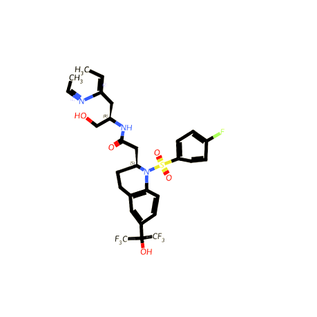 C/C=N\C(=C/C)C[C@H](CO)NC(=O)C[C@@H]1CCc2cc(C(O)(C(F)(F)F)C(F)(F)F)ccc2N1S(=O)(=O)c1ccc(F)cc1